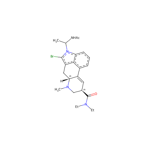 CCN(CC)C(=O)[C@@H]1C=C2c3cccc4c3c(c(Br)n4C(C)NC(C)=O)C[C@H]2N(C)C1